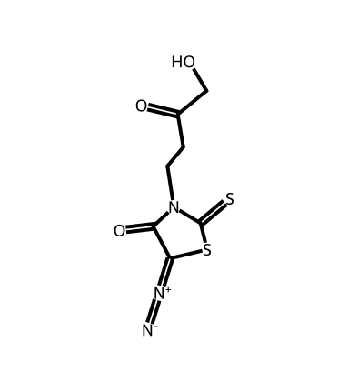 [N-]=[N+]=C1SC(=S)N(CCC(=O)CO)C1=O